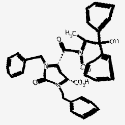 CC(N(C)C(=O)[C@@H]1[C@H](C(=O)O)N(Cc2ccccc2)C(=O)N1Cc1ccccc1)C(O)(c1ccccc1)c1ccccc1